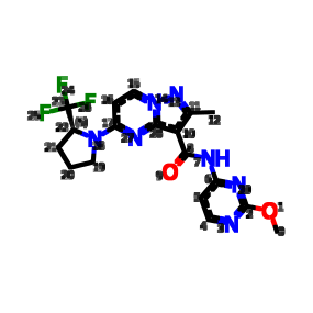 COc1nccc(NC(=O)c2c(C)nn3ccc(N4CCC[C@H]4C(F)(F)F)nc23)n1